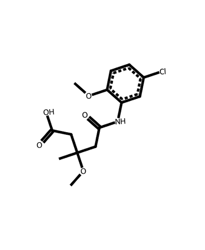 COc1ccc(Cl)cc1NC(=O)CC(C)(CC(=O)O)OC